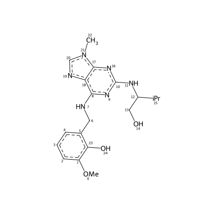 COc1cccc(CNc2nc(NC(CO)C(C)C)nc3c2ncn3C)c1O